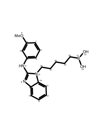 COc1cccc(Nc2nc3ccccc3n2CCCCCB(O)O)c1